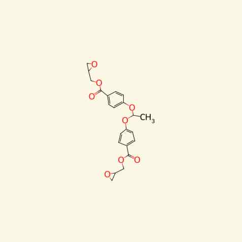 CC(Oc1ccc(C(=O)OCC2CO2)cc1)Oc1ccc(C(=O)OCC2CO2)cc1